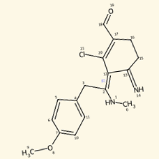 CN/C(Cc1ccc(OC)cc1)=C1\C(=N)CCC(C=O)=C1Cl